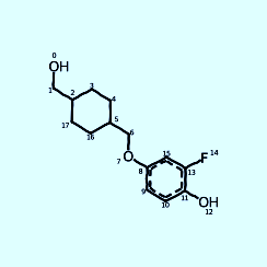 OCC1CCC(COc2ccc(O)c(F)c2)CC1